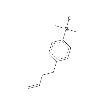 C=CCCc1ccc([Si](C)(C)Cl)cc1